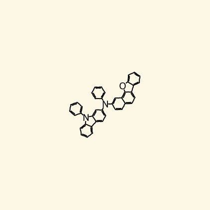 c1ccc(N(c2ccc3ccc4c5ccccc5oc4c3c2)c2ccc3c4ccccc4n(-c4ccccc4)c3c2)cc1